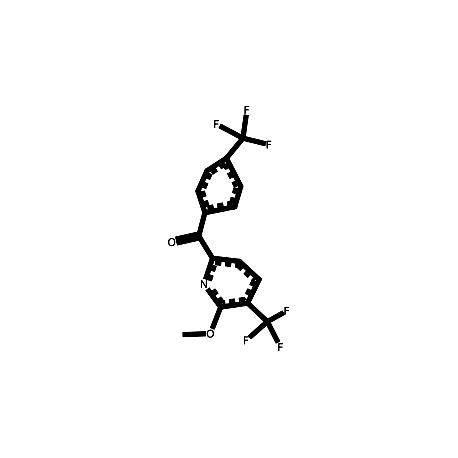 COc1nc(C(=O)c2ccc(C(F)(F)F)cc2)ccc1C(F)(F)F